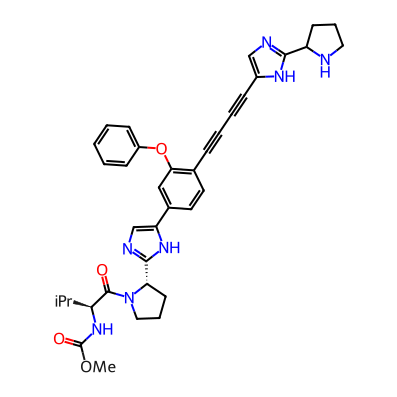 COC(=O)N[C@H](C(=O)N1CCC[C@H]1c1ncc(-c2ccc(C#CC#Cc3cnc(C4CCCN4)[nH]3)c(Oc3ccccc3)c2)[nH]1)C(C)C